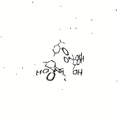 CC1CCC(C(C)C)C(O)(C(N)=O)C1.CC1CCC(C(C)C)C(OC(=O)C(C)(O)CC(O)CO)C1